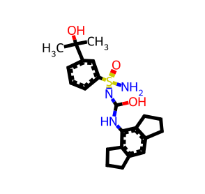 CC(C)(O)c1cccc(S(N)(=O)=NC(O)Nc2c3c(cc4c2CCC4)CCC3)c1